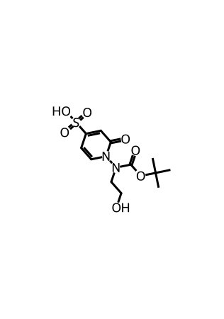 CC(C)(C)OC(=O)N(CCO)n1ccc(S(=O)(=O)O)cc1=O